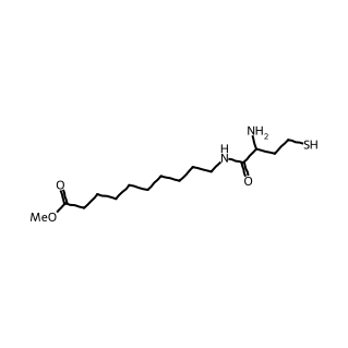 COC(=O)CCCCCCCCCNC(=O)C(N)CCS